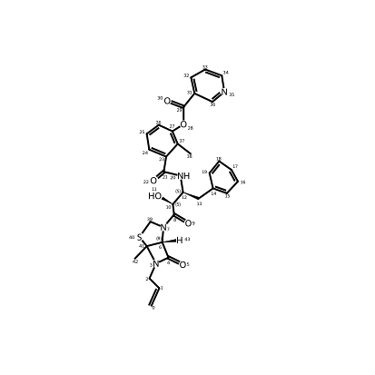 C=CCN1C(=O)[C@H]2N(C(=O)[C@@H](O)[C@H](Cc3ccccc3)NC(=O)c3cccc(OC(=O)c4cccnc4)c3C)CSC21C